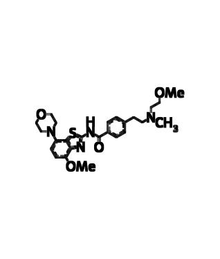 COCCN(C)CCc1ccc(C(=O)Nc2nc3c(OC)ccc(N4CCOCC4)c3s2)cc1